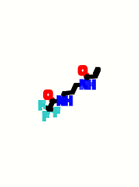 C=CC(=O)NCCCNC(=O)C(F)(F)F